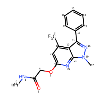 CCCNC(=O)COc1cc(C(F)(F)F)c2c(-c3ccccc3)nn(C)c2n1